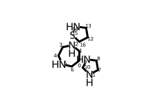 C1CNCCNC1.C1CNCN1.C1CNSC1